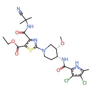 CCOC(=O)c1sc(N2CC[C@@H](NC(=O)c3[nH]c(C)c(Cl)c3Cl)[C@@H](OC)C2)nc1C(=O)NC(C)(C)C#N